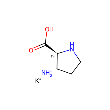 O=C(O)[C@@H]1CCCN1.[K+].[NH2-]